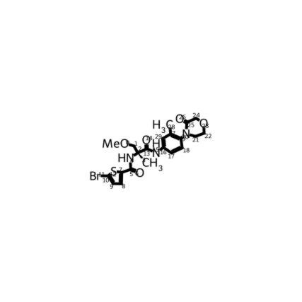 COC[C@@](C)(NC(=O)c1ccc(Br)s1)C(=O)Nc1ccc(N2CCOCC2=O)c(C)c1